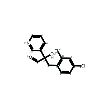 O=CC(O)(Cc1ccc(Cl)cc1Cl)c1cccnc1